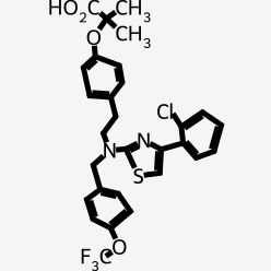 CC(C)(Oc1ccc(CCN(Cc2ccc(OC(F)(F)F)cc2)c2nc(-c3ccccc3Cl)cs2)cc1)C(=O)O